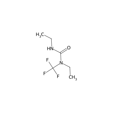 CCNC(=O)N(CC)C(F)(F)F